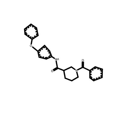 O=C(Nc1ccc(Oc2ccccc2)cc1)C1CCCN(C(=O)c2ccccc2)C1